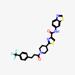 O=C(Nc1ccc2ncsc2c1)c1csc(C2CCN(C(=O)CCc3ccc(C(F)(F)F)cc3)CC2)n1